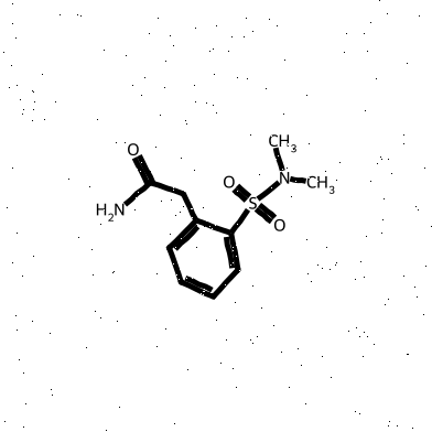 CN(C)S(=O)(=O)c1ccccc1CC(N)=O